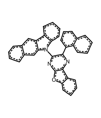 c1ccc2cc3c(cc2c1)c1ccccc1n3-c1nc2oc3ccccc3c2nc1-c1cccc2ccccc12